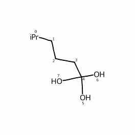 CC(C)CCCC(O)(O)O